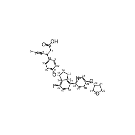 CC#CC(CC(=O)O)c1ccc(O[C@@H]2CCc3c(-c4ccc(O[C@@H]5CCOC5)cn4)ccc(F)c32)cc1